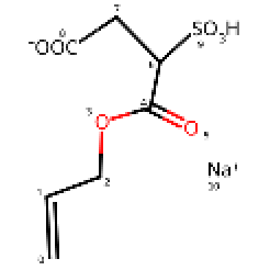 C=CCOC(=O)C(CC(=O)[O-])S(=O)(=O)O.[Na+]